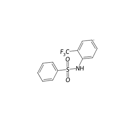 O=S(=O)(Nc1cc[c]cc1C(F)(F)F)c1ccccc1